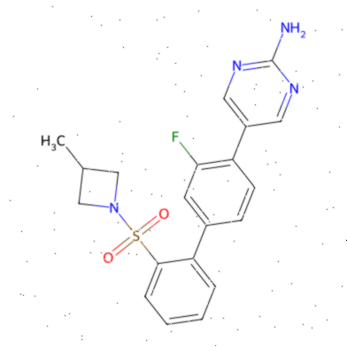 CC1CN(S(=O)(=O)c2ccccc2-c2ccc(-c3cnc(N)nc3)c(F)c2)C1